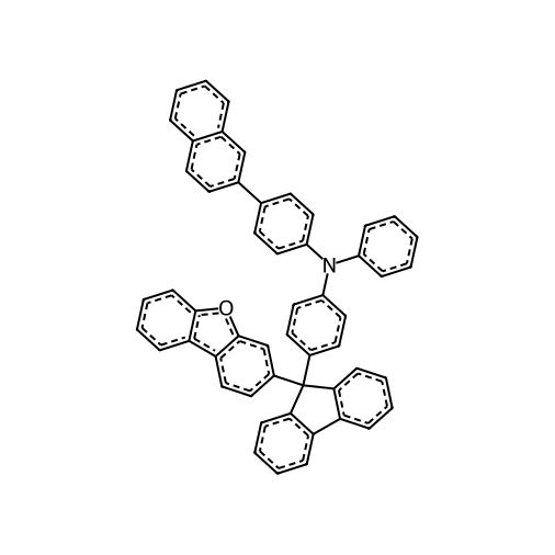 c1ccc(N(c2ccc(-c3ccc4ccccc4c3)cc2)c2ccc(C3(c4ccc5c(c4)oc4ccccc45)c4ccccc4-c4ccccc43)cc2)cc1